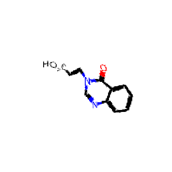 O=C(O)/C=C/n1cnc2ccccc2c1=O